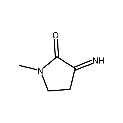 CN1CCC(=N)C1=O